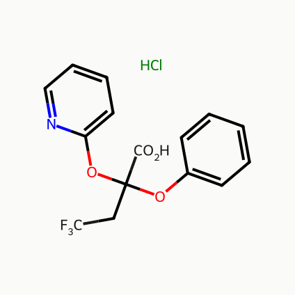 Cl.O=C(O)C(CC(F)(F)F)(Oc1ccccc1)Oc1ccccn1